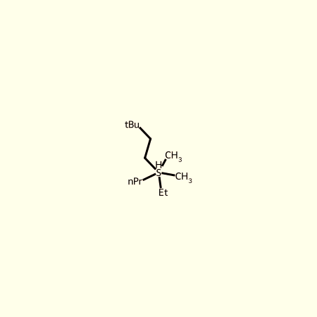 CCC[SH](C)(C)(CC)CCC(C)(C)C